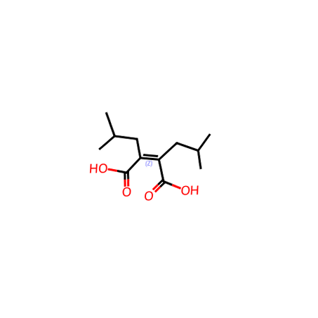 CC(C)C/C(C(=O)O)=C(\CC(C)C)C(=O)O